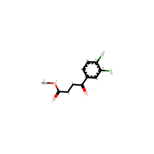 CC(C)(C)OC(=O)CCC(=O)c1ccc(Cl)c(Cl)c1